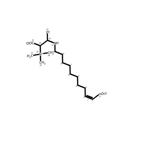 CCCCCCCC/C=C\CCCCCCCCNC(CC)C(C(=O)[O-])[N+](C)(C)C